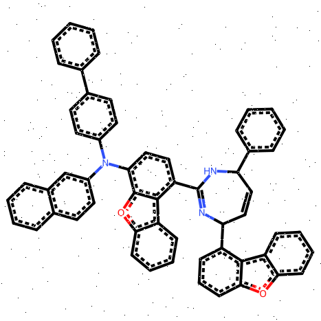 C1=CC(c2ccccc2)NC(c2ccc(N(c3ccc(-c4ccccc4)cc3)c3ccc4ccccc4c3)c3oc4ccccc4c23)=NC1c1cccc2oc3ccccc3c12